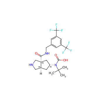 CC(C)(C)N(C(=O)O)[C@@H]1C[C@H]2CNC[C@@]2(C(=O)NCc2cc(C(F)(F)F)cc(C(F)(F)F)c2)C1